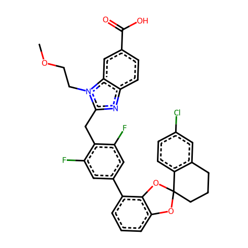 COCCn1c(Cc2c(F)cc(-c3cccc4c3OC3(CCCc5cc(Cl)ccc53)O4)cc2F)nc2ccc(C(=O)O)cc21